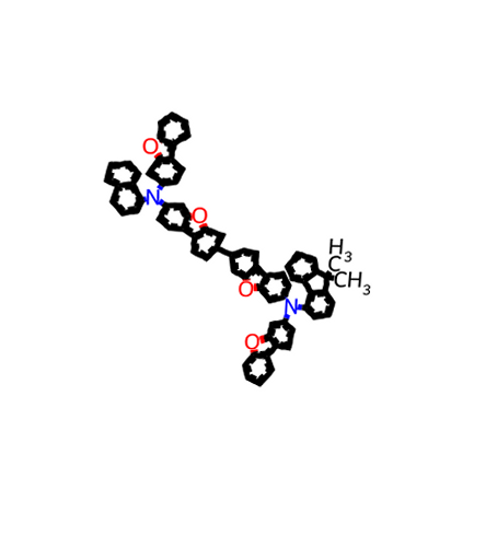 CC1(C)c2ccccc2-c2c(N(c3ccc4c(c3)oc3ccccc34)c3ccc4c(c3)oc3cc(-c5ccc6c(c5)oc5cc(N(c7ccc8c(c7)oc7ccccc78)c7cccc8ccccc78)ccc56)ccc34)cccc21